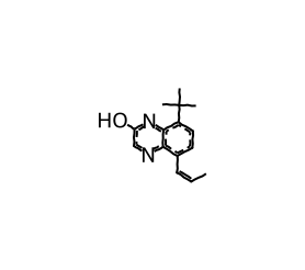 C/C=C\c1ccc(C(C)(C)C)c2nc(O)cnc12